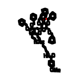 CCCCCCCCCCCCCC[C@@H](OCc1ccccc1)[C@@H](OCc1ccccc1)[C@H](CO[C@H]1O[C@H](COCc2ccccc2)[C@H](OCc2ccccc2)[C@H](OCc2ccccc2)[C@H]1OCc1ccccc1)NC(=O)CCCCCCCCNC(=O)c1ccc(OC)cc1